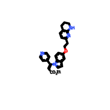 CCOC(=O)/C=C(/c1ccncc1)n1ccc2cc(OCCc3ccc4c(n3)NCCC4)ccc21